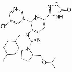 CC1CCC(Cn2c(N3CCCC3COC(C)C)nc3cc(-c4noc(=O)[nH]4)nc(-c4cncc(Cl)c4)c32)CC1